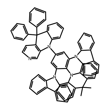 CC1(C)c2ccccc2N(c2c(-n3c4ccccc4c4ccccc43)cc(N3c4ccccc4C(c4ccccc4)(c4ccccc4)c4ccncc43)cc2-n2c3ccccc3c3ccccc32)c2ccccc21